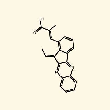 C/C=C1/c2nc3ccccc3nc2-c2cccc(/C=C(\C)C(=O)O)c21